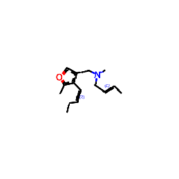 C/C=C/CN(C)Cc1coc(C)c1/C=C\CC